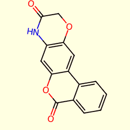 O=C1COc2cc3c(cc2N1)oc(=O)c1ccccc13